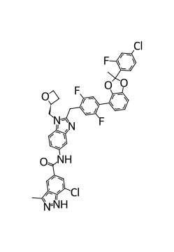 Cc1n[nH]c2c(Cl)cc(C(=O)Nc3ccc4c(c3)nc(Cc3cc(F)c(-c5cccc6c5OC(C)(c5ccc(Cl)cc5F)O6)cc3F)n4C[C@@H]3CCO3)cc12